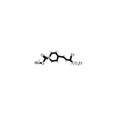 CCOC(=O)C(CC)CCC1CCN(C(=O)OC(C)(C)C)CC1